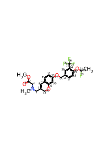 COC(=O)CN(C)CC1=Cc2ccc(OCc3ccc(O[C@@H](C)F)c(C(F)(F)F)c3)cc2OC1